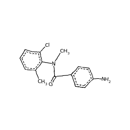 Cc1cccc(Cl)c1N(C)C(=O)c1ccc(N)cc1